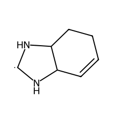 [CH]1NC2C=CCCC2N1